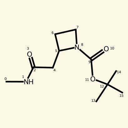 CNC(=O)CC1CCN1C(=O)OC(C)(C)C